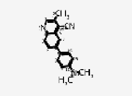 Cc1cnc2ccc(-c3ccc(N(C)C)cc3)cc2c1C#N